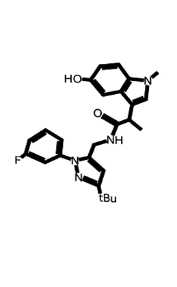 CC(C(=O)NCc1cc(C(C)(C)C)nn1-c1cccc(F)c1)c1cn(C)c2ccc(O)cc12